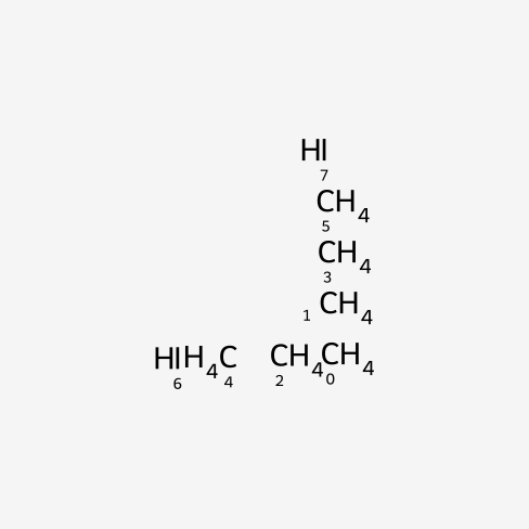 C.C.C.C.C.C.I.I